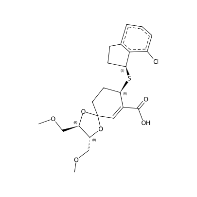 COC[C@H]1OC2(C=C(C(=O)O)[C@H](S[C@H]3CCc4cccc(Cl)c43)CC2)O[C@@H]1COC